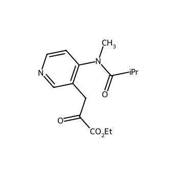 CCOC(=O)C(=O)Cc1cnccc1N(C)C(=O)C(C)C